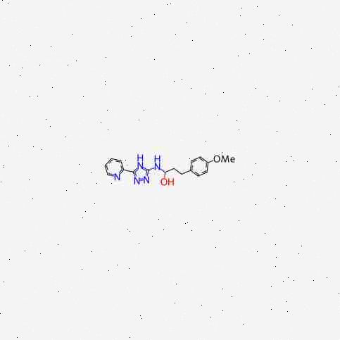 COc1ccc(CCC(O)Nc2nnc(-c3ccccn3)[nH]2)cc1